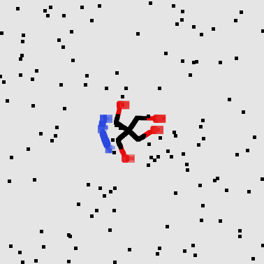 OCC(CO)(CO)CO.[N-]=[N+]=N